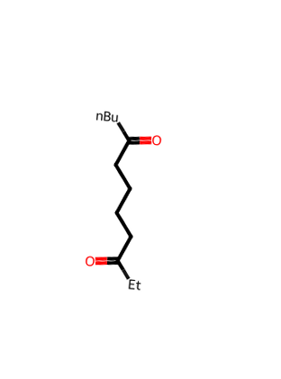 CCCCC(=O)CCCCC(=O)CC